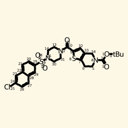 CC(C)(C)OC(=O)N1CCc2sc(C(=O)N3CCN(S(=O)(=O)c4ccc5cc(Cl)ccc5c4)CC3)cc2C1